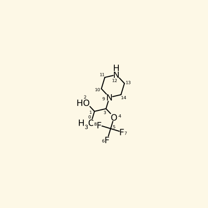 CC(O)C(OC(F)(F)F)N1CCNCC1